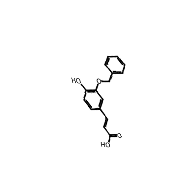 O=C(O)C=Cc1ccc(O)c(OCc2ccccc2)c1